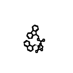 O=C1OCN(C(=O)OCC2c3ccccc3-c3ccccc32)[C@H]1Cc1cccc2ccccc12